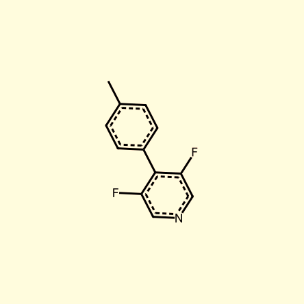 Cc1ccc(-c2c(F)cncc2F)cc1